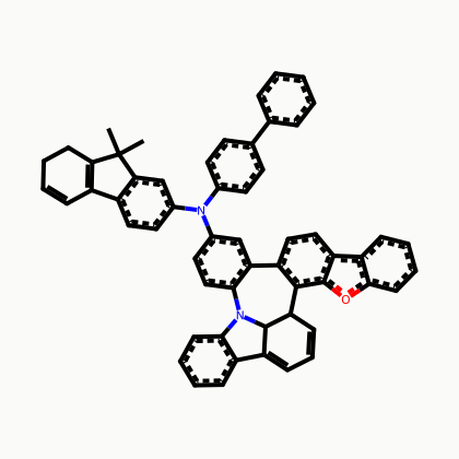 CC1(C)C2=C(C=CCC2)c2ccc(N(c3ccc(-c4ccccc4)cc3)c3ccc4c(c3)-c3ccc5c(oc6ccccc65)c3C3C=CC=C5c6ccccc6N4C53)cc21